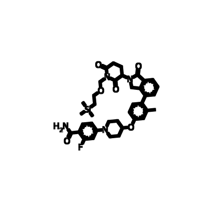 Cc1cc(OC2CCN(c3ccc(C(N)=O)c(F)c3)CC2)ccc1-c1cccc2c1CN(C1CCC(=O)N(COCC[Si](C)(C)C)C1=O)C2=O